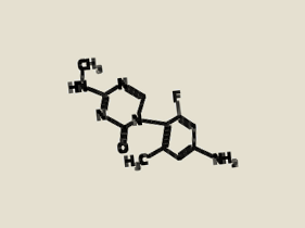 CNc1ncn(-c2c(C)cc(N)cc2F)c(=O)n1